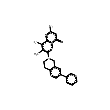 Cc1cc(=O)n2nc(N3CCc4ncc(-c5cccnc5)cc4C3)c(C)c(C)c2n1